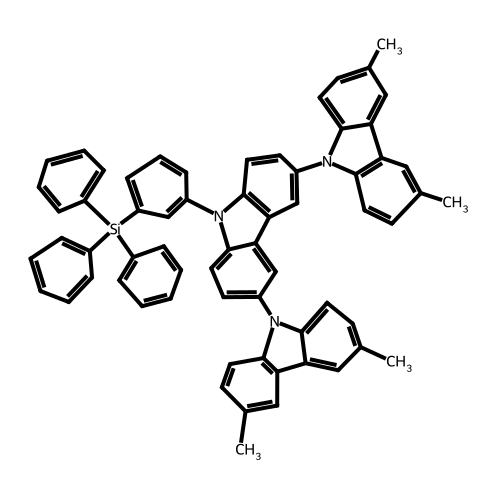 Cc1ccc2c(c1)c1cc(C)ccc1n2-c1ccc2c(c1)c1cc(-n3c4ccc(C)cc4c4cc(C)ccc43)ccc1n2-c1cccc([Si](c2ccccc2)(c2ccccc2)c2ccccc2)c1